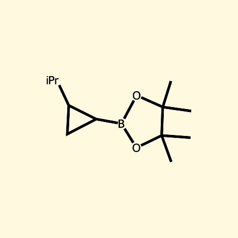 CC(C)C1CC1B1OC(C)(C)C(C)(C)O1